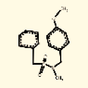 COc1ccc(CN(C)S(=O)(=O)Cc2ccccc2)cc1